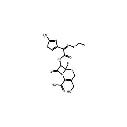 CCO/N=C(\C(=O)N[C@@H]1C(=O)N2C(C(=O)O)=C(CO)CS[C@@H]12)c1csc(N)n1